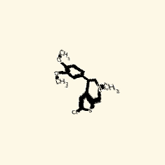 COc1ccc(C2CN(C)Cc3sc(Cl)cc32)cc1OC